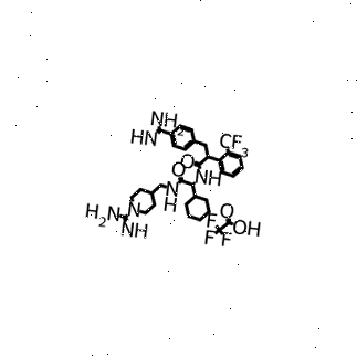 N=C(N)c1ccc(CC(C(=O)N[C@H](C(=O)NCC2CCN(C(=N)N)CC2)C2CCCCC2)c2ccccc2C(F)(F)F)cc1.O=C(O)C(F)(F)F